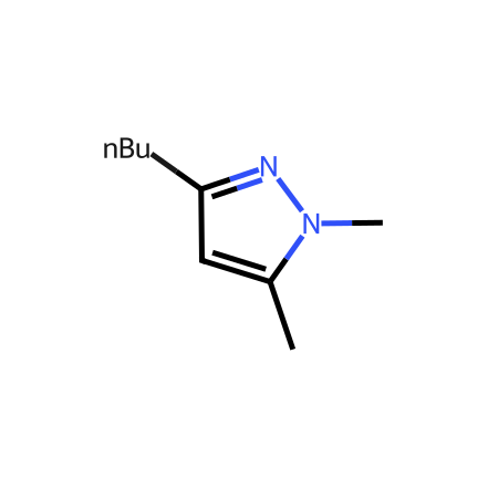 CCCCc1cc(C)n(C)n1